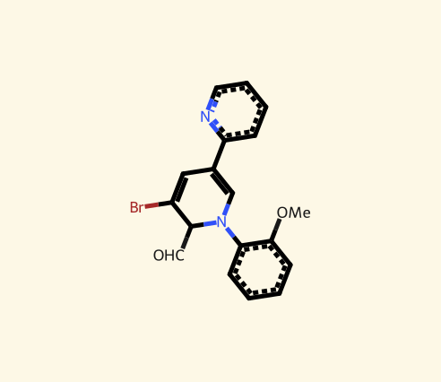 COc1ccccc1N1C=C(c2ccccn2)C=C(Br)C1C=O